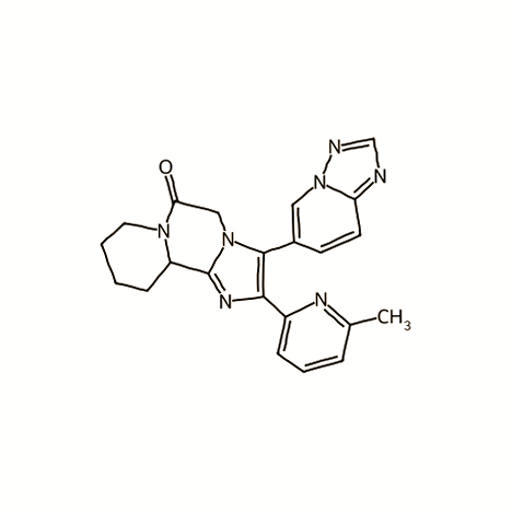 Cc1cccc(-c2nc3n(c2-c2ccc4ncnn4c2)CC(=O)N2CCCCC32)n1